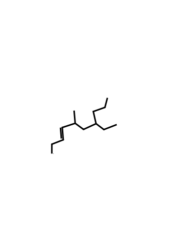 [CH2]CC=CC(C)CC(CC)CCC